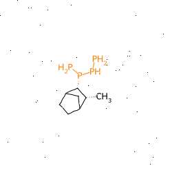 C[C@@H]1C2CCC(C2)[C@@H]1P(P)PP